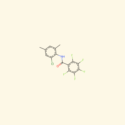 Cc1cc(C)c(NC(=O)c2c(F)c(F)c(F)c(F)c2F)c(Cl)c1